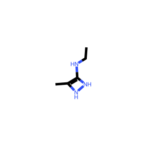 CCNc1[nH][nH]c1C